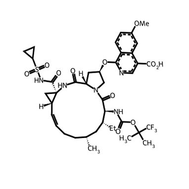 CC[C@@H]1C[C@H](C)CC/C=C\[C@@H]2C[C@@]2(C(=O)NS(=O)(=O)C2CC2)NC(=O)[C@@H]2C[C@@H](Oc3ncc(C(=O)O)c4cc(OC)ccc34)CN2C(=O)[C@H]1NC(=O)OC(C)(C)C(F)(F)F